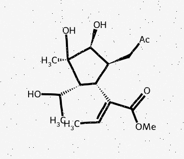 C/C=C(/C(=O)OC)[C@H]1[C@H](CC(C)=O)[C@H](O)[C@](C)(O)[C@H]1C(C)O